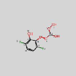 OOB(O)OOc1c(F)ccc(F)c1O